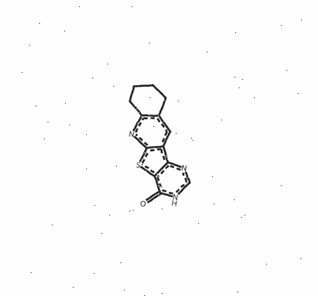 O=c1[nH]cnc2c1sc1nc3c(cc12)CCCC3